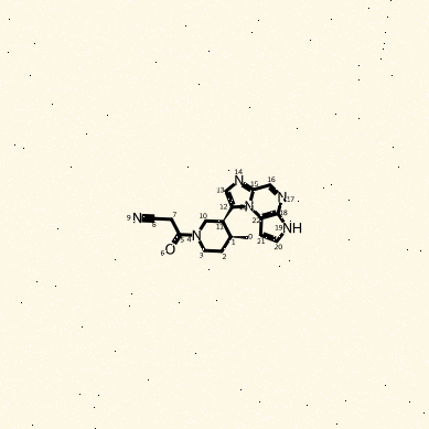 C[C@H]1CCN(C(=O)CC#N)C[C@H]1c1cnc2cnc3[nH]ccc3n12